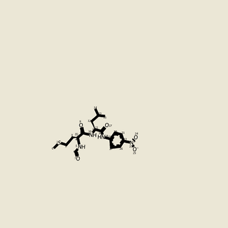 CSCC[C@H](NC=O)C(=O)N[C@@H](CC(C)C)C(=O)Nc1ccc([N+](=O)[O-])cc1